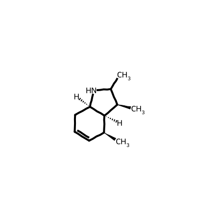 CC1N[C@@H]2CC=C[C@H](C)[C@@H]2[C@@H]1C